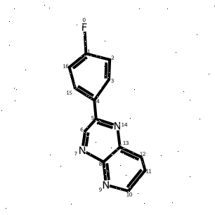 Fc1ccc(-c2cnc3ncccc3n2)cc1